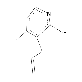 C=CCc1c(I)ccnc1F